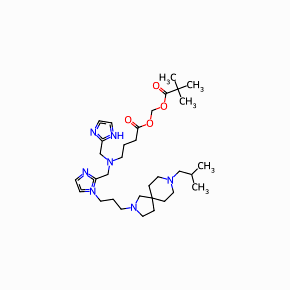 CC(C)CN1CCC2(CC1)CCN(CCCn1ccnc1CN(CCCC(=O)OCOC(=O)C(C)(C)C)Cc1ncc[nH]1)C2